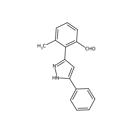 Cc1cccc(C=O)c1-c1cc(-c2ccccc2)[nH]n1